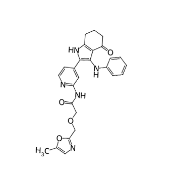 Cc1cnc(COCC(=O)Nc2cc(-c3[nH]c4c(c3Nc3ccccc3)C(=O)CCC4)ccn2)o1